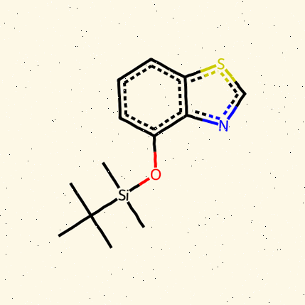 CC(C)(C)[Si](C)(C)Oc1cccc2scnc12